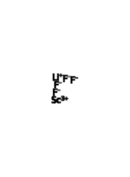 [F-].[F-].[F-].[F-].[Li+].[Sc+3]